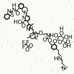 Cc1c(-c2ccc(N3CCc4cccc(C(=O)Nc5nc6ccccc6s5)c4C3)nc2C(=O)O)cnn1CC12CC3(C)CC(C)(C1)CC(OCCN(C)C(=O)OCc1ccc(CCCNCCC[N+](C)(C)C)cc1O[C@@H]1O[C@H](C(=O)O)[C@@H](O)[C@H](O)[C@H]1O)(C3)C2.O=C([O-])C(F)(F)F